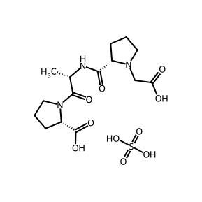 C[C@H](NC(=O)[C@@H]1CCCN1CC(=O)O)C(=O)N1CCC[C@H]1C(=O)O.O=S(=O)(O)O